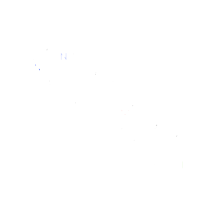 Fc1ccc(COc2ccc(-c3c[nH]cn3)cc2)cc1